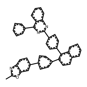 Cc1nc2ccc(-c3ccc(-c4ccc5ccccc5c4-c4ccc(-c5nc(-c6ccccc6)c6ccccc6n5)cc4)cc3)cc2o1